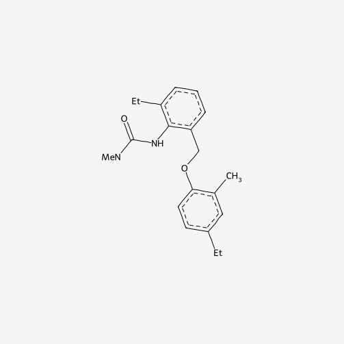 CCc1ccc(OCc2cccc(CC)c2NC(=O)NC)c(C)c1